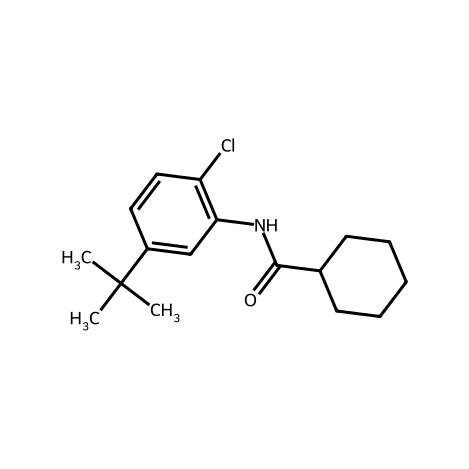 CC(C)(C)c1ccc(Cl)c(NC(=O)C2CCCCC2)c1